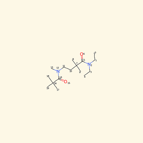 CCN(CC)C(=O)C(C)(C)CCN(C)C(=O)C(C)(C)C